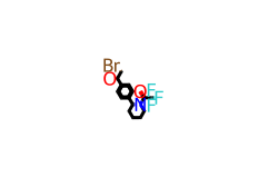 O=C(CBr)c1ccc(C2CCCCN2C(=O)C(F)(F)F)cc1